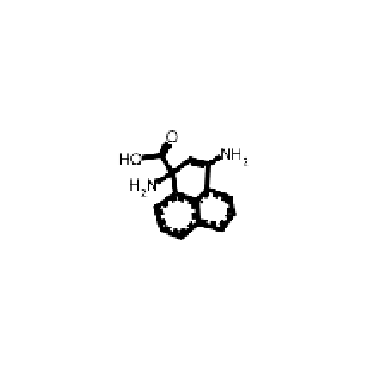 NC1=CC(N)(C(=O)O)c2cccc3cccc1c23